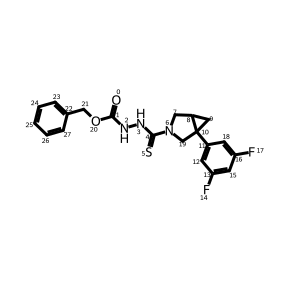 O=C(NNC(=S)N1CC2CC2(c2cc(F)cc(F)c2)C1)OCc1ccccc1